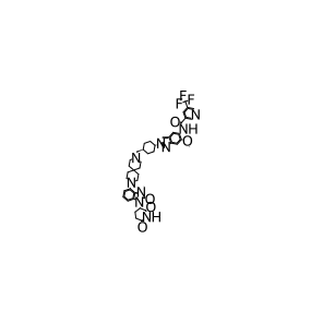 COc1cc2nn([C@H]3CC[C@H](CN4CCC5(CC4)CCN(c4cccc6c4n(C)c(=O)n6C4CCC(=O)NC4=O)CC5)CC3)cc2cc1NC(=O)c1cncc(C(F)(F)F)c1